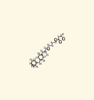 CC(=O)CC(=O)OCCCCOC/C(C)=C/c1ccc(Cc2cccnc2)cc1